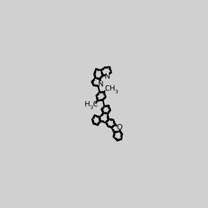 Cc1cc(-c2ccc3ccc4cccnc4c3n2)c(C)cc1-c1ccc2c(c1)c1ccccc1c1cc3c(cc21)oc1ccccc13